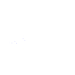 CCCCCCCCCCNC(N)=S